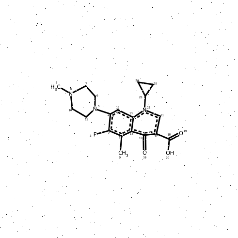 Cc1c(F)c(N2CCN(C)CC2)cc2c1c(=O)c(C(=O)O)cn2C1CC1